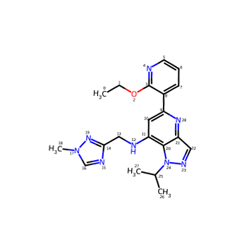 CCOc1ncccc1-c1cc(NCc2ncn(C)n2)c2c(cnn2C(C)C)n1